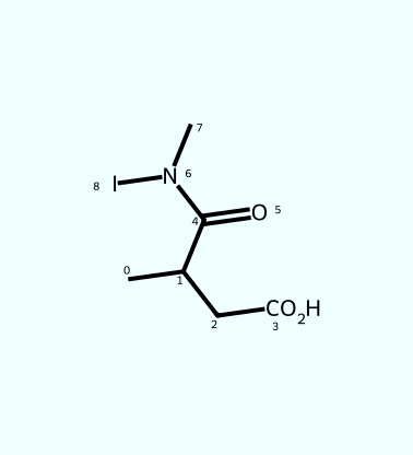 CC(CC(=O)O)C(=O)N(C)I